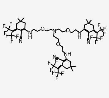 CC1(C)CC(NCCOCCN(CCOCCNC2=C(C#N)C(=C(C(F)(F)F)C(F)(F)F)CC(C)(C)C2)CCOCCNC2=C(C#N)C(=C(C(F)(F)F)C(F)(F)F)CC(C)(C)C2)=C(C#N)C(=C(C(F)(F)F)C(F)(F)F)C1